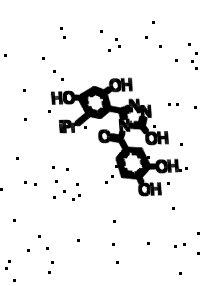 CC(C)c1cc(-c2nnc(O)n2C(=O)c2ccc(O)c(O)c2)c(O)cc1O